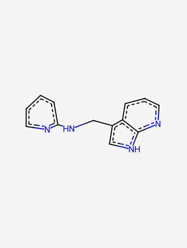 c1ccc(NCc2c[nH]c3ncccc23)nc1